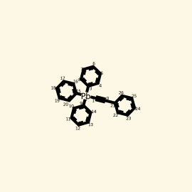 C(#[C][Pb]([c]1ccccc1)([c]1ccccc1)[c]1ccccc1)c1ccccc1